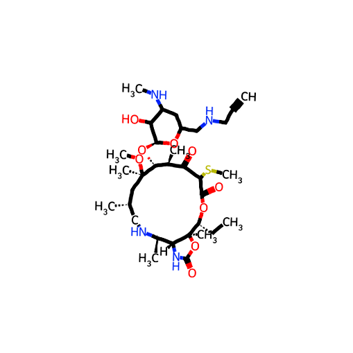 C#CCNCC1CC(NC)C(O)[C@H](O[C@@H]2[C@@H](C)C(=O)C(SC)C(=O)O[C@H](CC)[C@@]3(C)OC(=O)N[C@@H]3[C@@H](C)NC[C@H](C)C[C@@]2(C)OC)O1